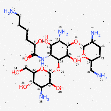 NCCCC[C@H](O)C(=O)N[C@@H]1C(O)[C@H](N)C(O[C@H]2OC(CN)CCC2N)C(O)[C@H]1O[C@H]1OC(CO)[C@@H](O)[C@H](N)C1O